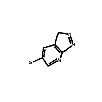 Brc1cnc2c(c1)CN=N2